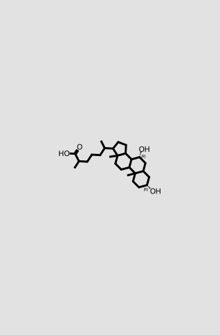 CC(CCCC(C)C1CCC2C3C(CCC12C)C1(C)CC[C@@H](O)CC1C[C@H]3O)C(=O)O